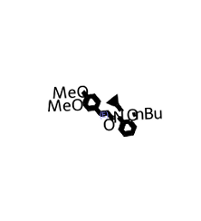 CCCCOc1ccccc1N(CC1CC1)C(=O)/C=C/c1ccc(OC)c(OC)c1